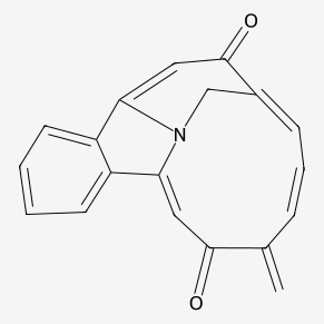 C=C1/C=C\C=C2/Cn3c(c4ccccc4/c3=C/C1=O)=CC2=O